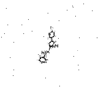 Fc1ccc(-c2c[nH]c(CNc3cccnc3)c2)cn1